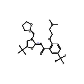 CN(C)CCOc1ccc(C(F)(F)F)cc1C(=O)/N=c1\oc(C(C)(C)C)cn1C[C@H]1CCCO1